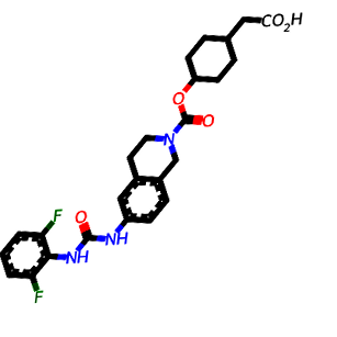 O=C(O)CC1CCC(OC(=O)N2CCc3cc(NC(=O)Nc4c(F)cccc4F)ccc3C2)CC1